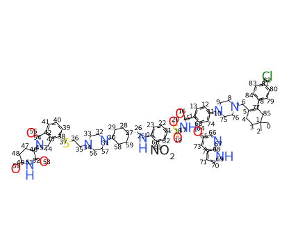 CC1(C)CCC(CN2CCN(c3ccc(C(=O)NS(=O)(=O)c4ccc(NC[C@H]5CC[C@H](N6CCN(CCSc7cccc8c7CN(C7CCC(=O)NC7=O)C8=O)CC6)CC5)c([N+](=O)[O-])c4)c(Oc4cnc5[nH]ccc5c4)c3)CC2)=C(c2ccc(Cl)cc2)C1